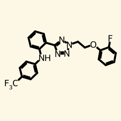 Fc1ccccc1OCCn1nnc(-c2ccccc2Nc2ccc(C(F)(F)F)cc2)n1